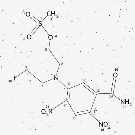 CS(=O)(=O)OCCN(CCI)c1cc(C(N)=O)c([N+](=O)[O-])cc1[N+](=O)[O-]